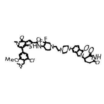 COc1cc(-c2cn(C)c(=O)c3cc(C(=O)NC4CCN(CCN5CCN(c6ccc7c(c6)CN(C6CCC(=O)NC6=O)C7=O)CC5)CC4(F)F)sc23)cc(Cl)c1CN(C)C